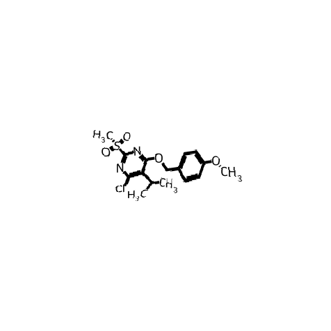 COc1ccc(COc2nc(S(C)(=O)=O)nc(Cl)c2C(C)C)cc1